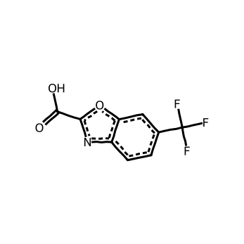 O=C(O)c1nc2ccc(C(F)(F)F)cc2o1